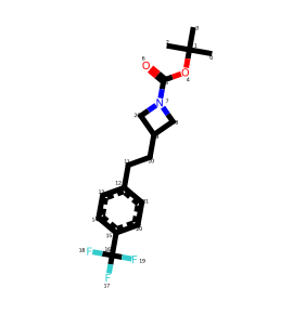 CC(C)(C)OC(=O)N1CC(CCc2ccc(C(F)(F)F)cc2)C1